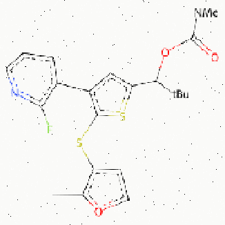 CNC(=O)OC(c1cc(-c2cccnc2F)c(Sc2ccoc2C)s1)C(C)(C)C